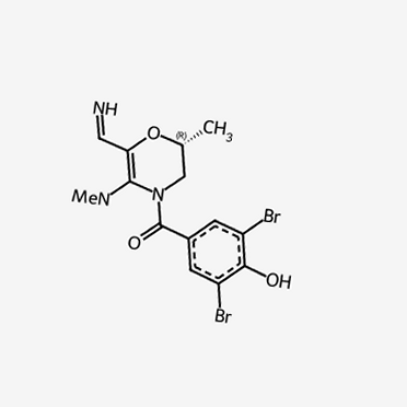 CNC1=C(C=N)O[C@H](C)CN1C(=O)c1cc(Br)c(O)c(Br)c1